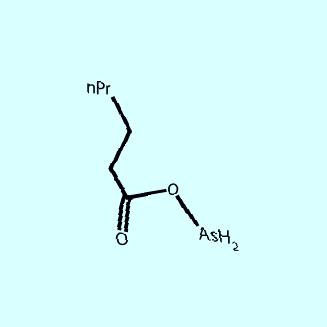 CCCCCC(=O)O[AsH2]